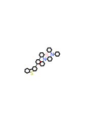 c1ccc(N2c3ccccc3B3c4cccc(-c5ccc(-c6ccc7sc8ccccc8c7c6)cc5)c4N(c4ccccc4)c4cccc2c43)cc1